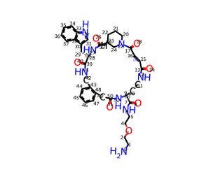 NCCOCCNC(=O)[C@@H]1CCNC(=O)/C=C/C(=O)N2CCC[C@H](C2)C(=O)N[C@@H](Cc2c[nH]c3ccccc23)C(=O)NCc2ccccc2CC(=O)N1